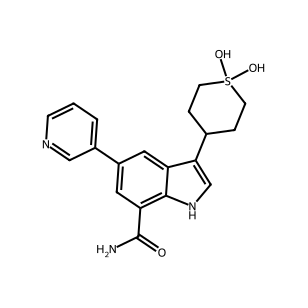 NC(=O)c1cc(-c2cccnc2)cc2c(C3CCS(O)(O)CC3)c[nH]c12